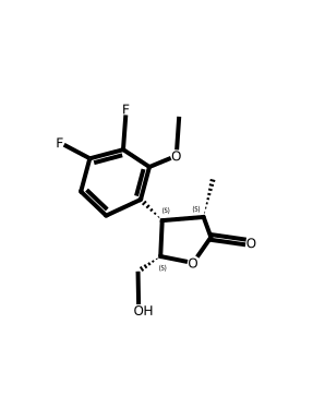 COc1c([C@@H]2[C@H](C)C(=O)O[C@@H]2CO)ccc(F)c1F